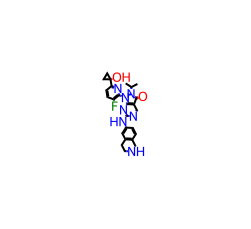 CC(C)n1c(=O)c2cnc(Nc3ccc4c(c3)CCNC4)nc2n1-c1nc(C2(O)CC2)ccc1F